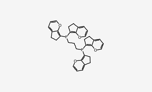 C1=COC2=C(P(CCCP(C3=C4OC=CC=C4CC3)C3=C4OC=CC=C4CC3)C3=C4OC=CC=C4CC3)CCC2=C1